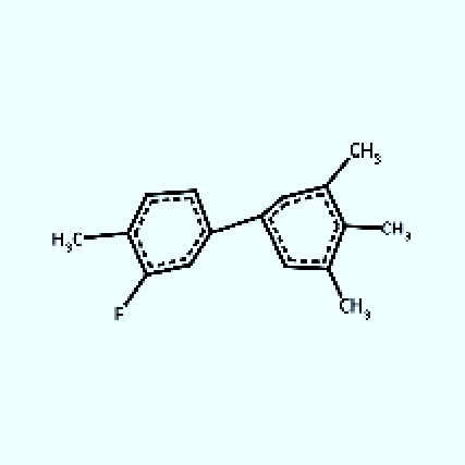 Cc1ccc(-c2cc(C)c(C)c(C)c2)cc1F